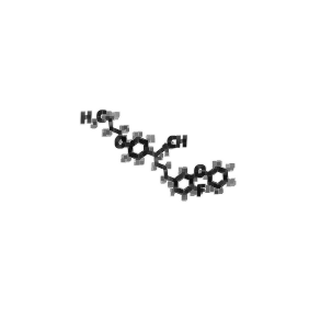 C#CC(CCCc1ccc(F)c(Oc2ccccc2)c1)c1ccc(OCCCC)cc1